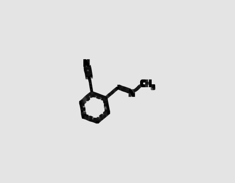 C/N=C/c1ccccc1C#N